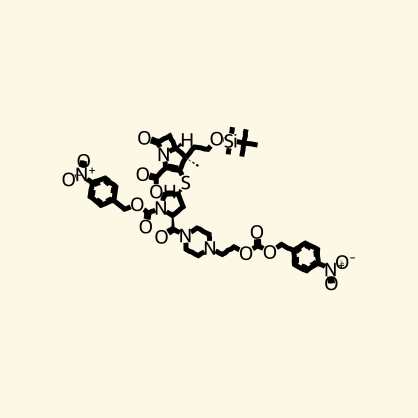 CC(C)(C)[Si](C)(C)OCC[C@@]1(C)C(S[C@H]2C[C@@H](C(=O)N3CCN(CCOC(=O)OCc4ccc([N+](=O)[O-])cc4)CC3)N(C(=O)OCc3ccc([N+](=O)[O-])cc3)C2)=C(C(=O)O)N2C(=O)C[C@@H]21